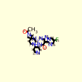 CC(=O)N1CC2(CCN(c3ccncc3NC(=O)c3c(N)nn4cc(F)cnc34)CC2)C1